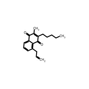 C=CCc1cccc2c1C(=O)C(CCCCC)=C(C)C2=O